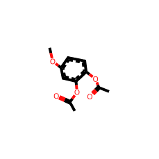 COc1ccc(OC(C)=O)c(OC(C)=O)c1